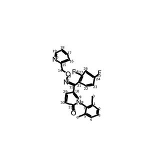 Cc1cccc(C)c1-n1cc(C(=NOCc2ccccn2)c2ccc(F)cc2F)ccc1=O